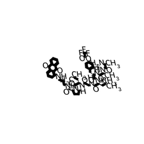 CC(C)C[C@H](NC(=O)[C@H](Cc1ccc(OC(=O)C(F)(F)F)cc1)NC(=O)[C@H](C)NC(=O)[C@@H](C)N)C(=O)NCC(=O)N[C@@H](CC(C)C)C(=O)N1CCC[C@H]1C(=O)NCCCNc1cccc2c1C(=O)c1ccccc1C2=O